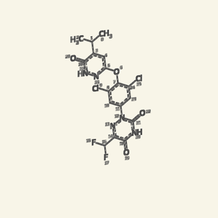 CC(C)c1cc(Oc2c(Cl)cc(-n3nc(C(F)F)c(=O)[nH]c3=O)cc2Cl)n[nH]c1=O